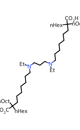 CCCCCCCCC(CCCCCC)(CCCCCCCN(CC)CCCN(CC)CCCCCCCC(CCCCCC)(CCCCCCCC)C(=O)O)C(=O)O